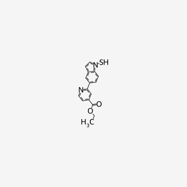 CCOC(=O)c1ccnc(-c2ccc3c(ccn3S)c2)c1